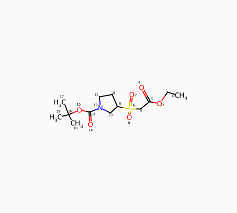 CCOC(=O)CS(=O)(=O)C1CCN(C(=O)OC(C)(C)C)C1